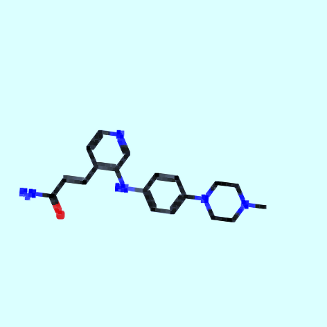 CN1CCN(c2ccc(Nc3cnccc3/C=C/C(N)=O)cc2)CC1